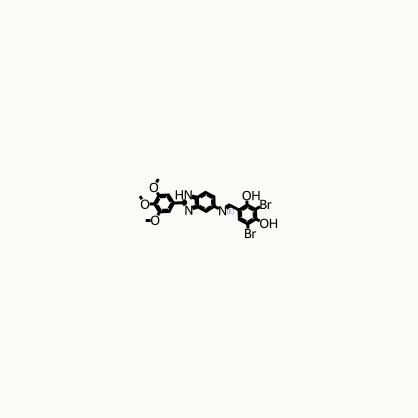 COc1cc(-c2nc3cc(/N=C/c4cc(Br)c(O)c(Br)c4O)ccc3[nH]2)cc(OC)c1OC